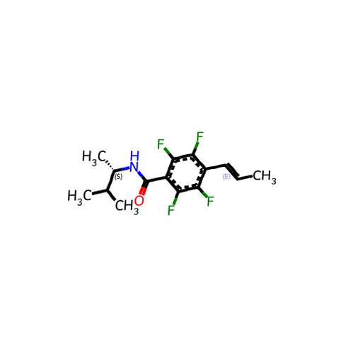 C/C=C/c1c(F)c(F)c(C(=O)N[C@@H](C)C(C)C)c(F)c1F